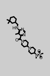 Cc1c(NCC2CCCC(C)(C)C2)ncnc1C(=O)N1CCC(N2CCC(N(C)S(C)(=O)=O)CC2)CC1